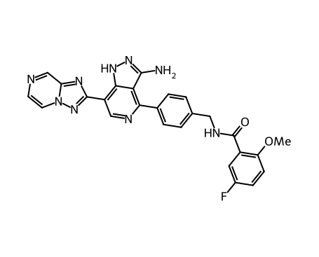 COc1ccc(F)cc1C(=O)NCc1ccc(-c2ncc(-c3nc4cnccn4n3)c3[nH]nc(N)c23)cc1